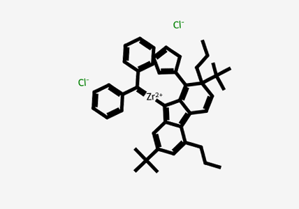 CCCc1cc(C(C)(C)C)cc2c1=C1C=CC(CCC)(C(C)(C)C)C(C3=CC=CC3)=C1[C]=2[Zr+2]=[C](c1ccccc1)c1ccccc1.[Cl-].[Cl-]